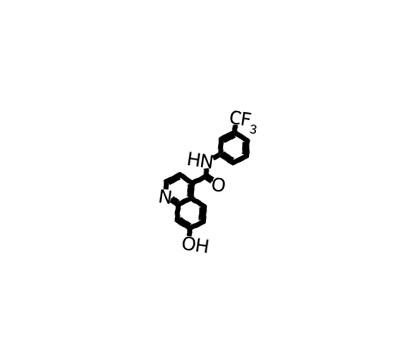 O=C(Nc1cccc(C(F)(F)F)c1)c1ccnc2cc(O)ccc12